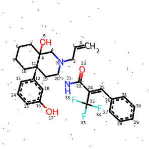 C=CCN1CC2(O)CCCC[C@@]2(c2cccc(O)c2)C[C@H]1NC(=O)C(=Cc1ccccc1)C(F)(F)F